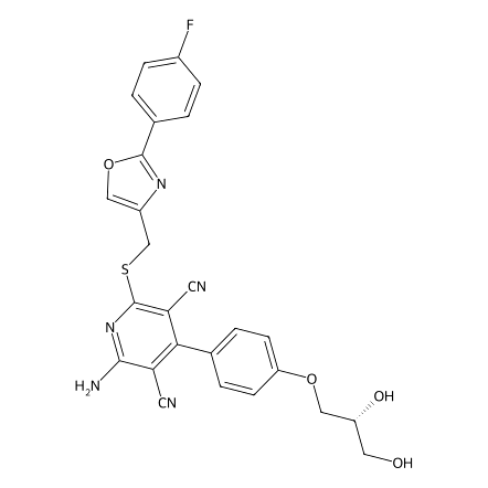 N#Cc1c(N)nc(SCc2coc(-c3ccc(F)cc3)n2)c(C#N)c1-c1ccc(OC[C@H](O)CO)cc1